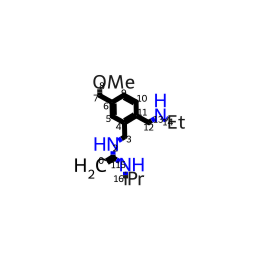 C=C(NCc1cc(COC)ccc1CNCC)NC(C)C